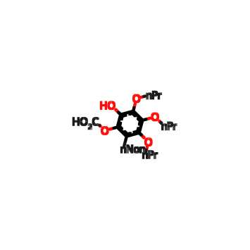 CCCCCCCCCc1c(OC(=O)O)c(O)c(OCCC)c(OCCC)c1OCCC